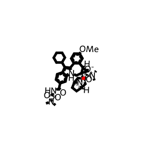 COc1ccc2c(c1)[C@@H]1C[C@]1(C(=O)N1[C@@H]3CC[C@H]1CN([S+]([O-])N(C)C)C3)Cn1c-2c(C2CCCCC2)c2ccc(C(=O)NS(=O)(=O)N(C)C)cc21